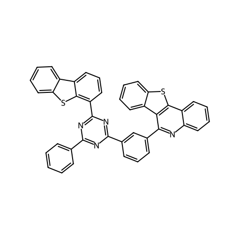 c1ccc(-c2nc(-c3cccc(-c4nc5ccccc5c5sc6ccccc6c45)c3)nc(-c3cccc4c3sc3ccccc34)n2)cc1